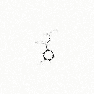 C[CH]CNC[C@H](O)c1cccc(Cl)c1